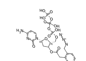 [N-]=[N+]=NCc1ccccc1CC(=O)OC1C[C@H](n2ccc(N)nc2=O)O[C@@H]1COP(=O)(O)OP(=O)(O)OP(=O)(O)O